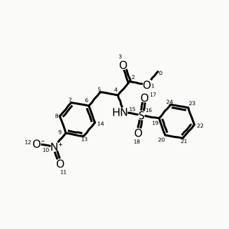 COC(=O)C(Cc1ccc([N+](=O)[O-])cc1)NS(=O)(=O)c1ccccc1